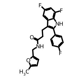 Cc1ccc(CNC(=O)CCc2c(-c3ccc(F)cc3)[nH]c3c(F)cc(F)cc23)o1